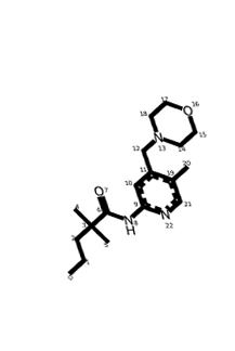 CCCC(C)(C)C(=O)Nc1cc(CN2CCOCC2)c(C)cn1